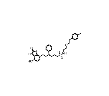 Cc1ccc(CCOCCNS(=O)(=O)CCCN(CCc2ccc(O)c3[nH]c(=O)sc23)c2ccccc2)cc1